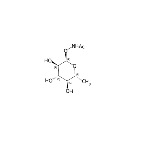 CC(=O)NO[C@H]1O[C@H](C)[C@@H](O)[C@H](O)[C@H]1O